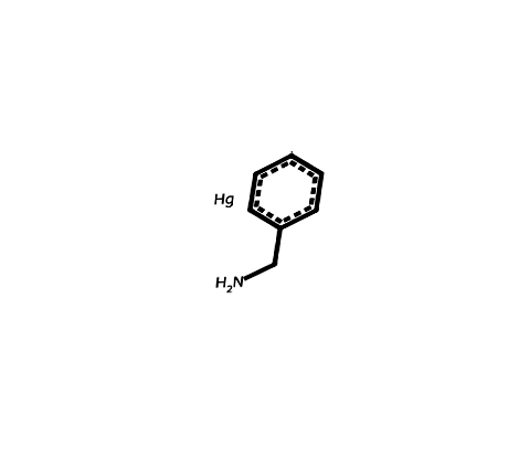 NCc1cc[c]cc1.[Hg]